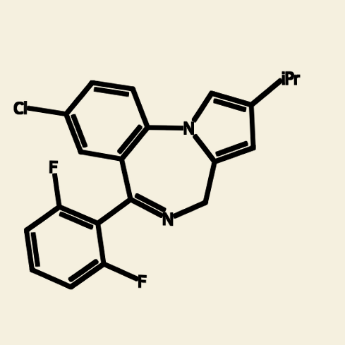 CC(C)c1cc2n(c1)-c1ccc(Cl)cc1C(c1c(F)cccc1F)=NC2